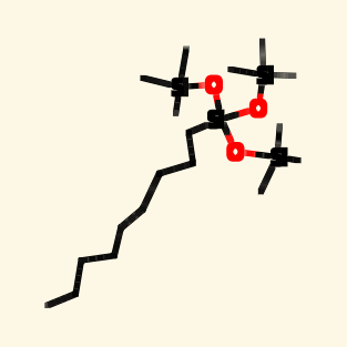 CCCCCCCCC[Si](O[Si](C)(C)C)(O[Si](C)(C)C)O[Si](C)(C)C